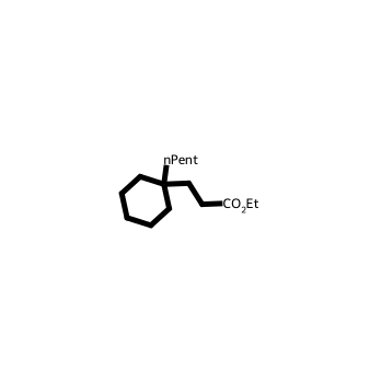 CCCCCC1(CCC(=O)OCC)CCCCC1